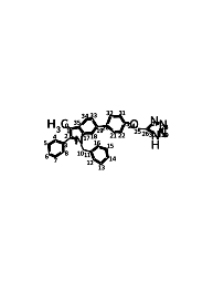 Cc1c(-c2ccccc2)n(Cc2ccccc2)c2cc(-c3ccc(OCc4nnn[nH]4)cc3)ccc12